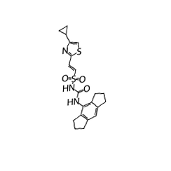 O=C(Nc1c2c(cc3c1CCC3)CCC2)NS(=O)(=O)/C=C/c1nc(C2CC2)cs1